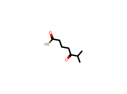 CC(C)C(=O)CCCC(=O)S